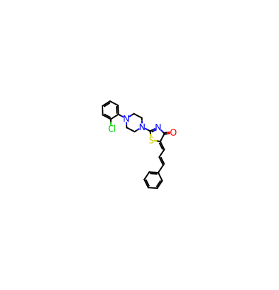 O=C1N=C(N2CCN(c3ccccc3Cl)CC2)SC1=CC=Cc1ccccc1